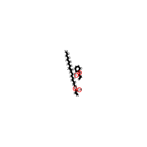 C=CC(=O)OC1CCCCC1.C=CC(=O)OCCCCCCCCC=CCCCCCCCC